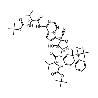 CC(C)[C@H](NC(=O)OC(C)(C)C)C(=O)Nc1ncnn2c([C@]3(C#N)O[C@H](CC4([Si](O)(c5ccccc5)C(C)(C)C)C=CC=CC4)[C@@H](OC(=O)[C@@H](NC(=O)OC(C)(C)C)C(C)C)[C@H]3O)ccc12